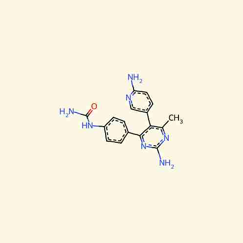 Cc1nc(N)nc(-c2ccc(NC(N)=O)cc2)c1-c1ccc(N)nc1